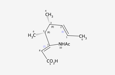 C/C=C/[C@@H](C)[C@@H](C)/C(=C/C(=O)O)NC(C)=O